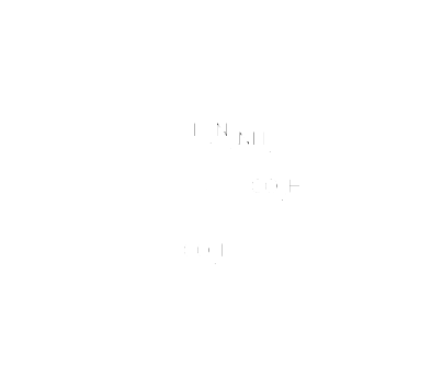 NC1(N)CCC(CC2CCCCC2)CC1.O=C(O)CCCCC(=O)O